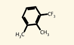 Cc1c[c][c]c(C(F)(F)F)c1C